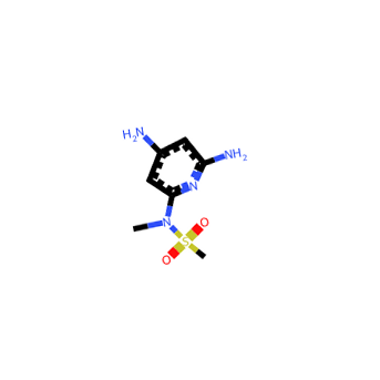 CN(c1cc(N)cc(N)n1)S(C)(=O)=O